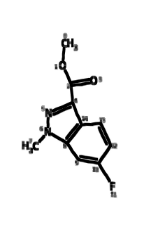 COC(=O)c1nn(C)c2cc(F)ccc12